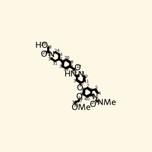 CNC(=O)n1ccc2cc(Oc3ccnc(NC(=O)c4ccc(C5CCN(C(=O)CO)CC5)cc4)c3)c(OCCOC)cc21